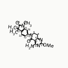 COc1nc(N)c2c(n1)CCN(c1ccc3c(c1)N(C)C(=O)C3(C)C)C2=O